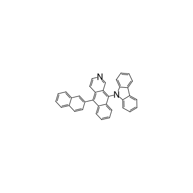 c1ccc2cc(-c3c4ccccc4c(-n4c5ccccc5c5ccccc54)c4cnccc34)ccc2c1